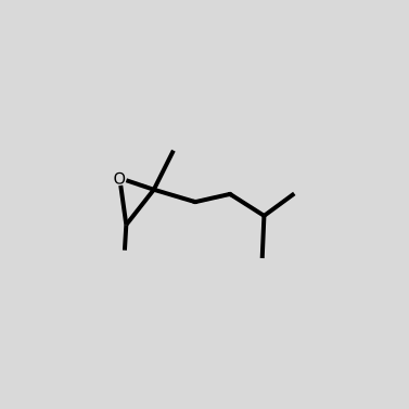 CC(C)CCC1(C)OC1C